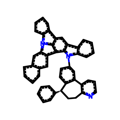 c1ccc([C@H]2CCc3ncccc3-c3cc(-n4c5ccccc5c5cc6c7ccccc7n7c8cc9ccccc9cc8c(c54)c67)ccc32)cc1